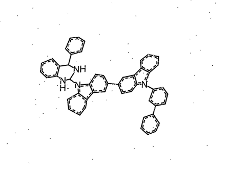 c1ccc(-c2cccc(-n3c4ccccc4c4cc(-c5ccc6c(c5)c5ccccc5n6C5Nc6ccccc6C(c6ccccc6)N5)ccc43)c2)cc1